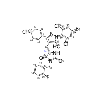 O=C1N/C(=C\c2c(C3=CCC(Cl)C=C3)nn(-c3c(Cl)cc(Br)cc3Cl)c2O)C(=O)N1Cc1ccccc1F